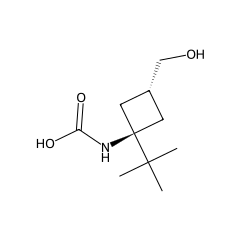 CC(C)(C)[C@]1(NC(=O)O)C[C@H](CO)C1